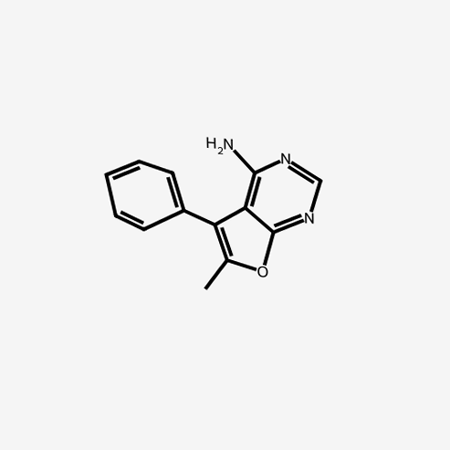 Cc1oc2ncnc(N)c2c1-c1ccccc1